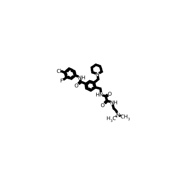 CN(C)CCNC(=O)C(=O)NCc1ccc(C(=O)Nc2ccc(Cl)c(F)c2)cc1CN1CCCCC1